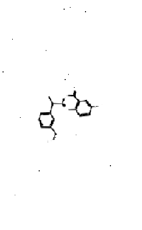 CC(C)Cc1cccc(C(C)c2nc3ccc(Cl)cc3c(=O)o2)c1